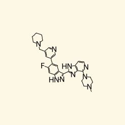 CN1CCN(c2nccc3[nH]c(-c4n[nH]c5cc(F)c(-c6cncc(CN7CCCCC7)c6)cc45)nc23)CC1